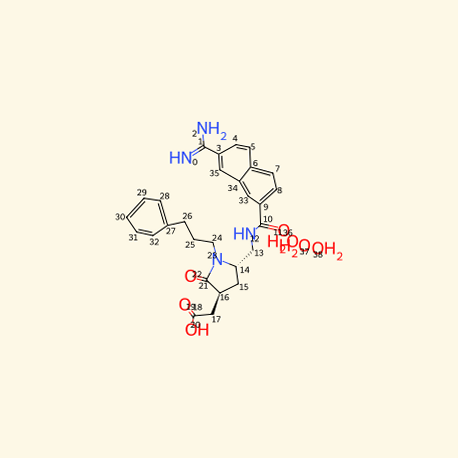 N=C(N)c1ccc2ccc(C(=O)NC[C@@H]3C[C@@H](CC(=O)O)C(=O)N3CCCc3ccccc3)cc2c1.O.O.O